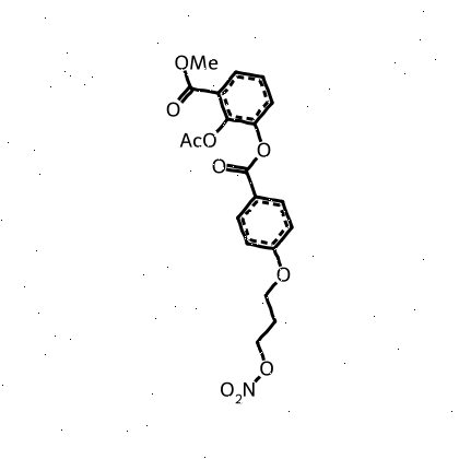 COC(=O)c1cccc(OC(=O)c2ccc(OCCCO[N+](=O)[O-])cc2)c1OC(C)=O